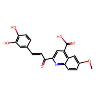 COc1ccc2nc(C(=O)C=Cc3ccc(O)c(O)c3)cc(C(=O)O)c2c1